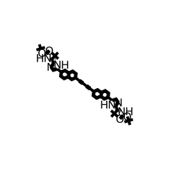 CC(C)(C)OC(=O)N[C@H](c1ncc(-c2ccc3cc(C#CC#Cc4ccc5cc(-c6cnc([C@@H](NC(=O)OC(C)(C)C)C(C)(C)C)[nH]6)ccc5c4)ccc3c2)[nH]1)C(C)(C)C